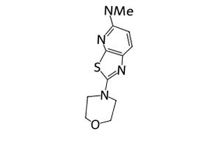 CNc1ccc2nc(N3CCOCC3)sc2n1